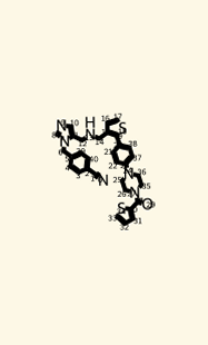 N#Cc1ccc(Cn2cncc2CNCc2ccsc2-c2ccc(N3CCN(C(=O)c4cccs4)CC3)cc2)cc1